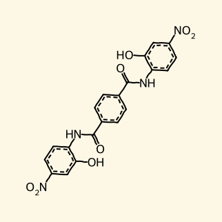 O=C(Nc1ccc([N+](=O)[O-])cc1O)c1ccc(C(=O)Nc2ccc([N+](=O)[O-])cc2O)cc1